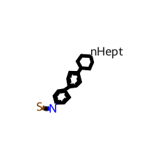 CCCCCCCC1CCC(c2ccc(-c3ccc(N=C=S)cc3)cc2)CC1